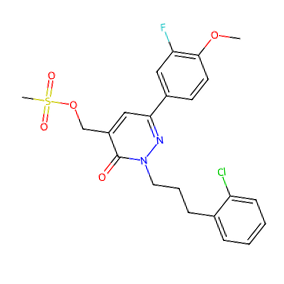 COc1ccc(-c2cc(COS(C)(=O)=O)c(=O)n(CCCc3ccccc3Cl)n2)cc1F